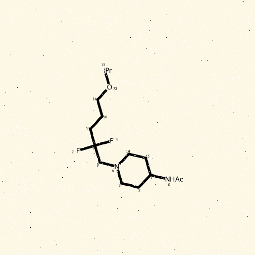 CC(=O)NC1CCN(CC(F)(F)CCCOC(C)C)CC1